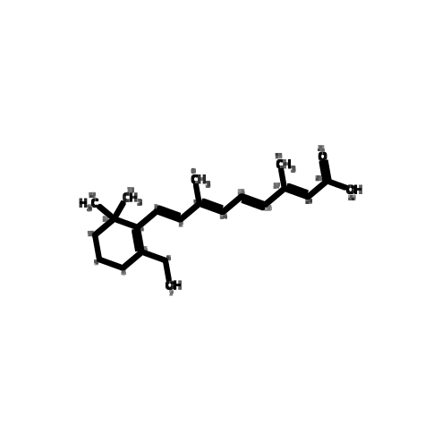 CC(/C=C/C1=C(CO)CCCC1(C)C)=C\C=C\C(C)=C\C(=O)O